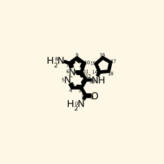 NC(=O)c1cnn2c(N)ccc2c1NC1CCCC1